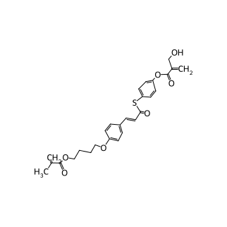 C=C(C)C(=O)OCCCCOc1ccc(/C=C/C(=O)Sc2ccc(OC(=O)C(=C)CO)cc2)cc1